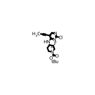 CC#Cc1cnc(Cl)nc1N[C@H]1CCN(C(=O)OC(C)(C)C)C[C@H]1F